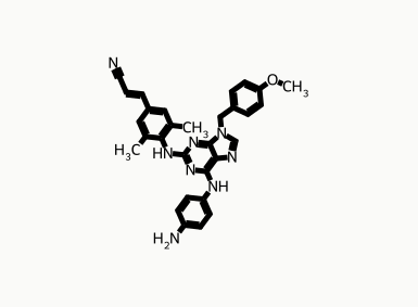 COc1ccc(Cn2cnc3c(Nc4ccc(N)cc4)nc(Nc4c(C)cc(/C=C/C#N)cc4C)nc32)cc1